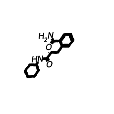 NC(=O)c1ccccc1C[CH]C(=O)NC1CCCCC1